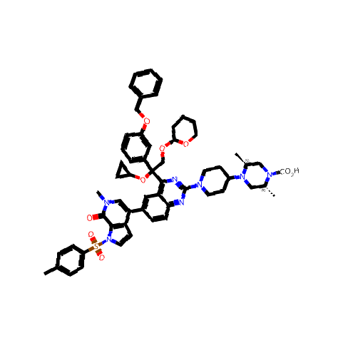 Cc1ccc(S(=O)(=O)n2ccc3c(-c4ccc5nc(N6CCC(N7C[C@@H](C)N(C(=O)O)C[C@@H]7C)CC6)nc(C(COC6CCCCO6)(OC6CC6)c6cccc(OCc7ccccc7)c6)c5c4)cn(C)c(=O)c32)cc1